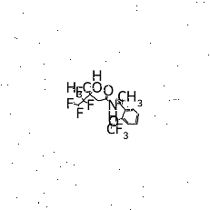 C[C@H](NC(=O)CC(C)(O)C(F)(F)C(F)F)c1ccccc1OC(F)(F)F